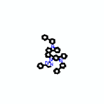 c1ccc(-c2cccc(-n3c4ccccc4c4cc5c6c7c(ccc8c7c7ccccc7n8-c7cccc(-c8ccccc8)c7)ccc6n(-c6nccc(-c7ccccc7)n6)c5cc43)c2)cc1